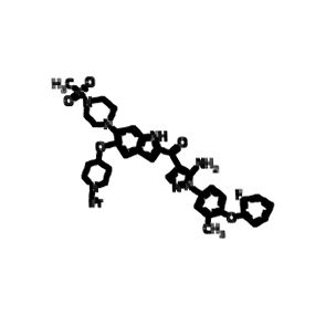 Cc1cc(-n2ncc(C(=O)c3cc4cc(OC5CCN(C(C)C)CC5)c(N5CCN(S(C)(=O)=O)CC5)cc4[nH]3)c2N)ccc1Oc1ccccc1F